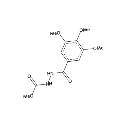 COC(=O)NNC(=O)c1cc(OC)c(OC)c(OC)c1